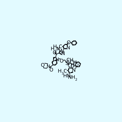 Cc1cc(Oc2ccccc2)ncc1-n1ncc(C(=O)c2cc3cc(C(=O)N4CCOCC4)ccc3n2COCC[Si](C)(C)C)c1N.Cc1cc(Oc2ccccc2)ncc1NN